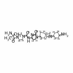 CC(C)(N)C(=O)N1CCN(C(=O)Nc2ccn(C3=CCC(CNC4CCC(N)CC4)CC3)c(=O)n2)CC1